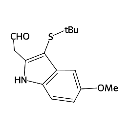 COc1ccc2[nH]c(CC=O)c(SC(C)(C)C)c2c1